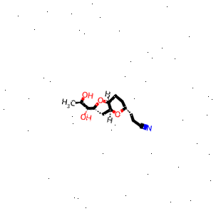 C[C@@H](O)[C@@H](O)[C@H]1C[C@@H]2O[C@@H](CCC#N)CC[C@@H]2O1